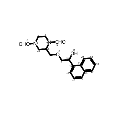 O=CN1CCN(C=O)C(COCC(O)c2cccc3ccccc23)C1